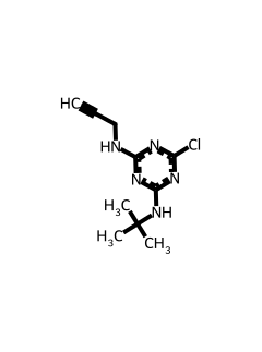 C#CCNc1nc(Cl)nc(NC(C)(C)C)n1